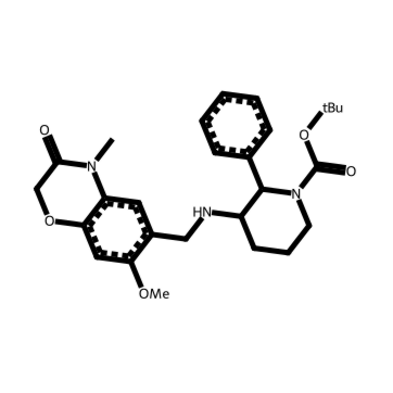 COc1cc2c(cc1CNC1CCCN(C(=O)OC(C)(C)C)C1c1ccccc1)N(C)C(=O)CO2